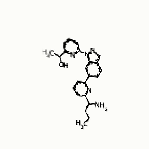 CCCC(N)c1cccc(-c2ccc3cnn(-c4cccc(C(C)O)n4)c3c2)n1